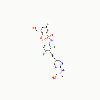 COc1c(CO)cc(Cl)cc1S(=O)(=O)Nc1ccc(F)c(C#Cc2cnc(NC(C)CO)nc2)c1F